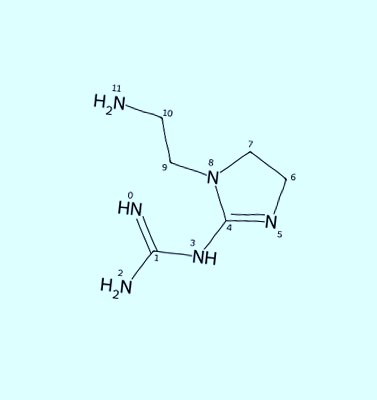 N=C(N)NC1=NCCN1CCN